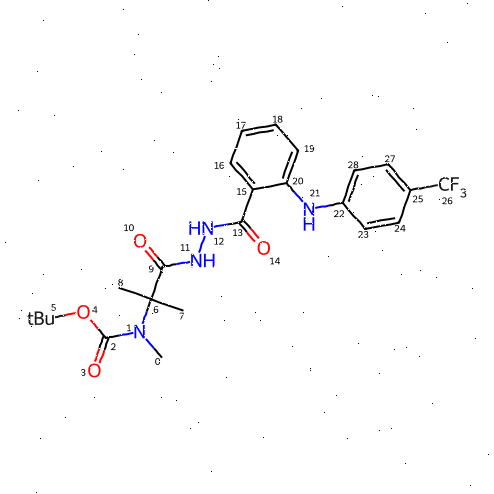 CN(C(=O)OC(C)(C)C)C(C)(C)C(=O)NNC(=O)c1ccccc1Nc1ccc(C(F)(F)F)cc1